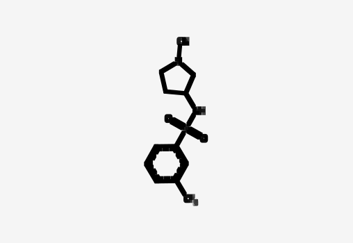 N#CN1CCC(NS(=O)(=O)c2cccc(C(F)(F)F)c2)C1